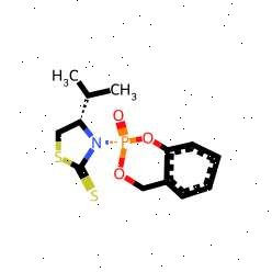 CC(C)[C@H]1CSC(=S)N1[P@@]1(=O)OCc2ccccc2O1